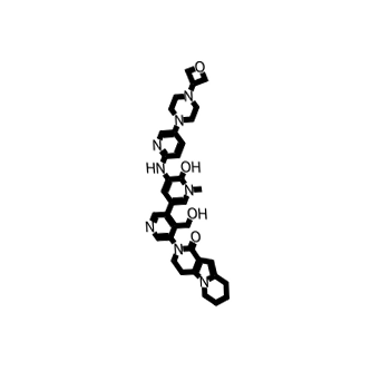 CN1C=C(c2cncc(N3CCc4c(cc5n4CCCC5)C3=O)c2CO)C=C(Nc2ccc(N3CCN(C4COC4)CC3)cn2)C1O